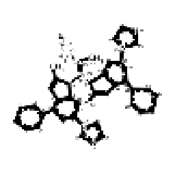 CC1=Cc2c(-c3ccccc3)cc(-n3ccnc3)cc2[C@@H]1[Zr+2]([C@H]1C(C)=Cc2c(-c3ccccc3)cc(-n3ccnc3)cc21)=[Si](C)C.[Cl-].[Cl-]